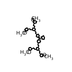 COc1cccc(/C=C/c2cc(/C=C/c3ccc(N(c4ccccc4)c4ccc(/C=C/c5cc(/C=C/c6cccc(OC)c6)cc(/C=C/c6cccc(OC)c6)c5)cc4)cc3)cc(/C=C/c3cccc(OC)c3)c2)c1